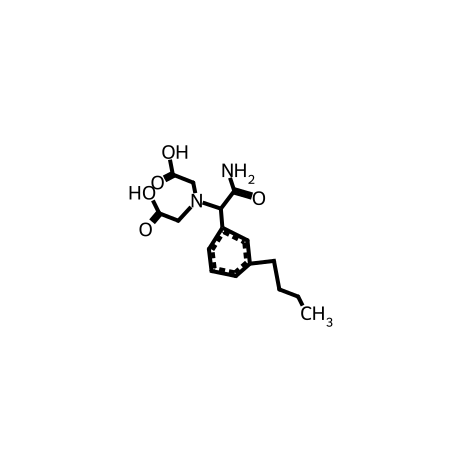 CCCCc1cccc(C(C(N)=O)N(CC(=O)O)CC(=O)O)c1